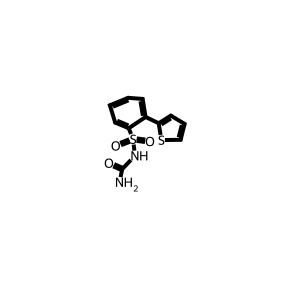 NC(=O)NS(=O)(=O)c1ccccc1-c1cccs1